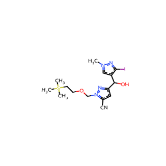 Cn1cc(C(O)c2cc(C#N)n(COCCS(C)(C)C)n2)c(I)n1